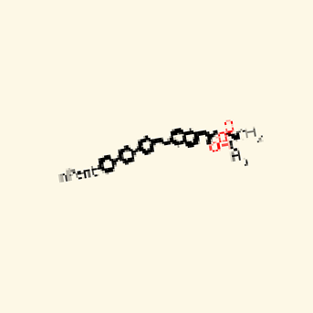 C=C(C)C(=O)OCC(CO)Cc1ccc2cc(CCc3ccc(C4CCC(C5CCC(CCCCC)CC5)CC4)cc3)ccc2c1